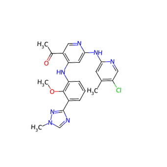 COc1c(Nc2cc(Nc3cc(C)c(Cl)cn3)ncc2C(C)=O)cccc1-c1ncn(C)n1